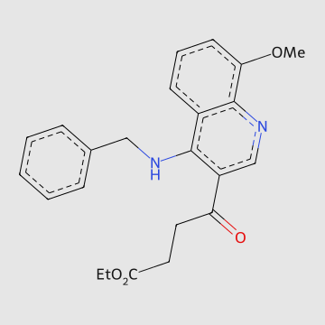 CCOC(=O)CCC(=O)c1cnc2c(OC)cccc2c1NCc1ccccc1